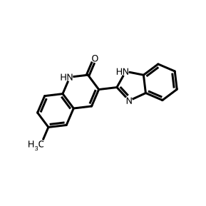 Cc1ccc2[nH]c(=O)c(-c3nc4ccccc4[nH]3)cc2c1